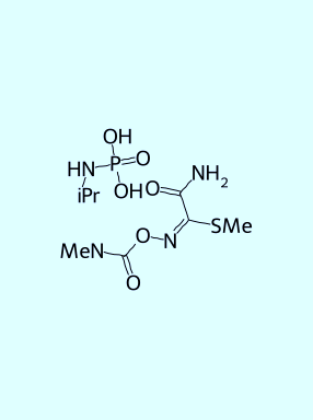 CC(C)NP(=O)(O)O.CNC(=O)ON=C(SC)C(N)=O